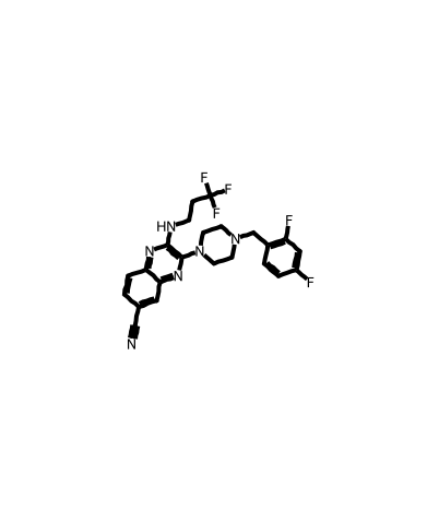 N#Cc1ccc2nc(NCCC(F)(F)F)c(N3CCN(Cc4ccc(F)cc4F)CC3)nc2c1